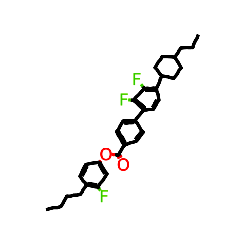 CCCCc1ccc(OC(=O)c2ccc(-c3ccc(C4CCC(CCC)CC4)c(F)c3F)cc2)cc1F